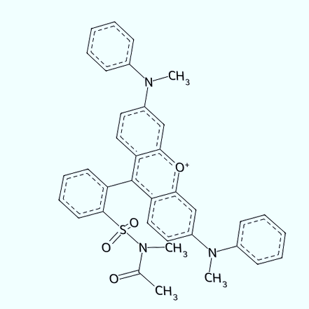 CC(=O)N(C)S(=O)(=O)c1ccccc1-c1c2ccc(N(C)c3ccccc3)cc2[o+]c2cc(N(C)c3ccccc3)ccc12